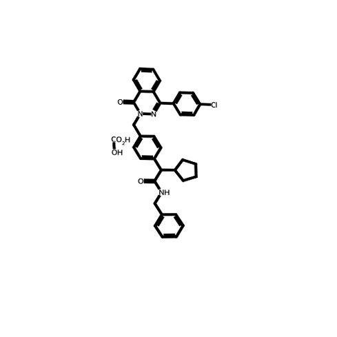 O=C(NCc1ccccc1)C(c1ccc(Cn2nc(-c3ccc(Cl)cc3)c3ccccc3c2=O)cc1)C1CCCC1.O=C(O)O